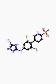 CS(=O)(=O)c1ccc(-c2c(Cl)cc(Nc3n[nH]c(N)n3)cc2Cl)cn1